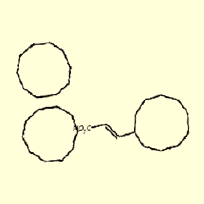 C1CCCCCCCCC1.C1CCCCCCCCC1.O=C(O)C=CC1CCCCCCCCC1